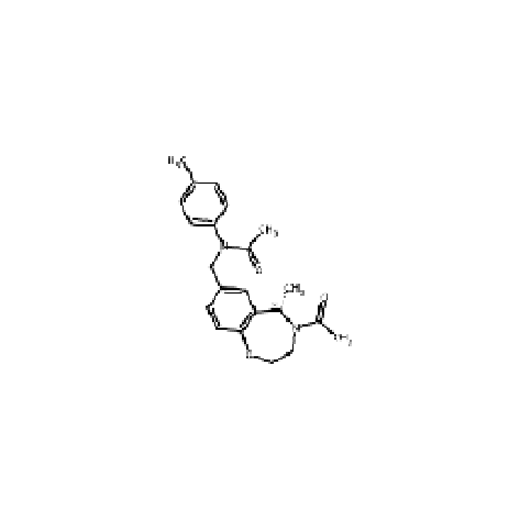 CC(=O)N(Cc1ccc2c(c1)[C@H](C)N(C(C)=O)CCO2)c1ccc(C)cc1